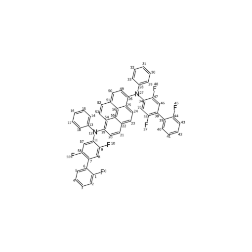 Fc1ccccc1-c1cc(F)c(N(c2ccccc2)c2ccc3ccc4c(N(c5ccccc5)c5cc(F)c(-c6ccccc6F)cc5F)ccc5ccc2c3c54)cc1F